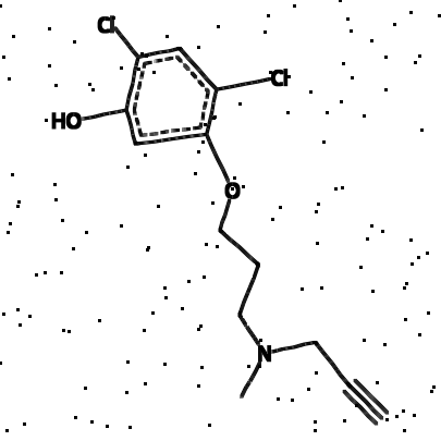 C#CCN(C)CCCOc1cc(O)c(Cl)cc1Cl